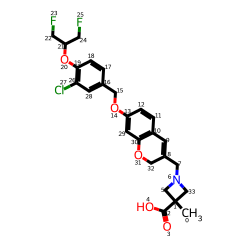 CC1(C(=O)O)CN(CC2=Cc3ccc(OCc4ccc(OC(CF)CF)c(Cl)c4)cc3OC2)C1